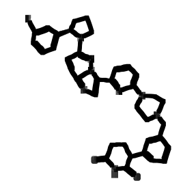 O=C1CCC(c2cccc(CN3CCN(c4cccc(-c5cnc6ccc(N7CCC[C@@H]7c7cccc(F)c7)nn56)n4)CC3)c2)C(=O)N1